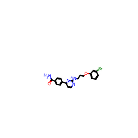 NC(=O)c1ccc(-c2ccnc(NCCCOc3cccc(Br)c3)n2)cc1